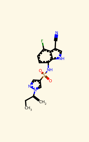 C=C(CC)n1cc(S(=O)(=O)Nc2ccc(F)c3c(C#N)c[nH]c23)cn1